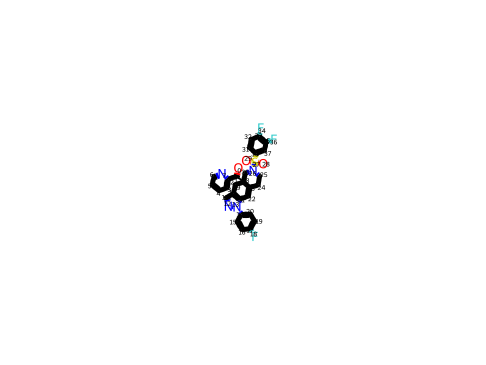 O=C(c1ccccn1)[C@]12Cc3cnn(-c4ccc(F)cc4)c3C=C1CCN(S(=O)(=O)c1ccc(F)c(F)c1)C2